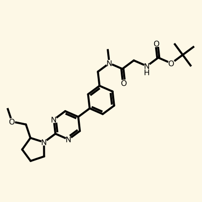 COCC1CCCN1c1ncc(-c2cccc(CN(C)C(=O)CNC(=O)OC(C)(C)C)c2)cn1